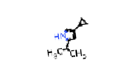 CC(C)c1cc(C2CC2)c[nH]1